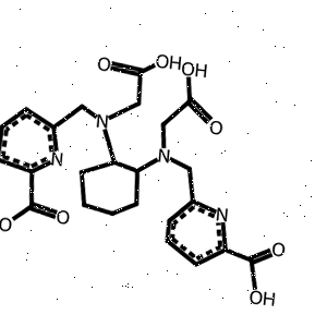 O=C(O)CN(Cc1cccc(C(=O)O)n1)C1CCCCC1N(CC(=O)O)Cc1cccc(C(=O)O)n1